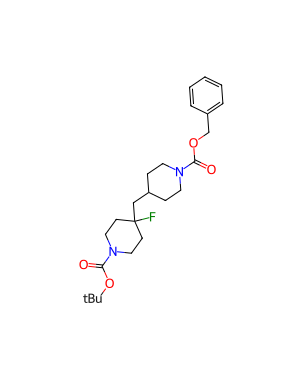 CC(C)(C)OC(=O)N1CCC(F)(CC2CCN(C(=O)OCc3ccccc3)CC2)CC1